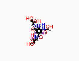 C[C@H](O)C(=O)Nc1c(I)c(C(=O)NCC(O)CO)c(I)c(C(=O)NCC(O)CO)c1I